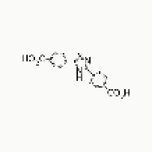 O=C(O)c1ccc(-c2nnc(-c3ccc(C(=O)O)cc3)[nH]2)cc1